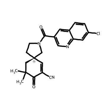 CC1(C)C[C@@]2(C=C(C#N)C1=O)CCN(C(=O)c1cnc3cc(Cl)ccc3c1)C2